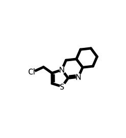 ClCC1=CSC2=NC3CCCCC3CN12